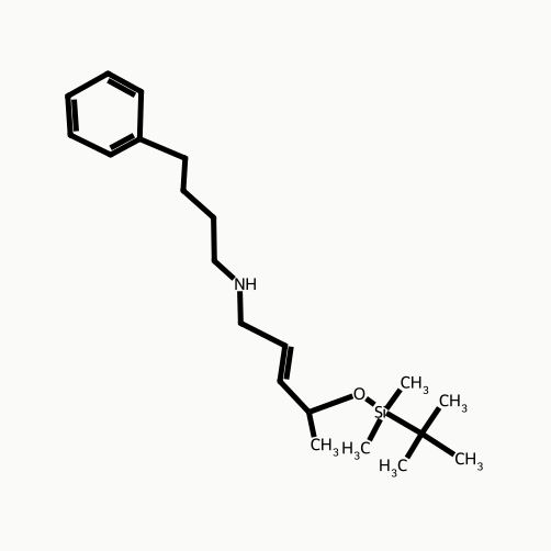 CC(C=CCNCCCCc1ccccc1)O[Si](C)(C)C(C)(C)C